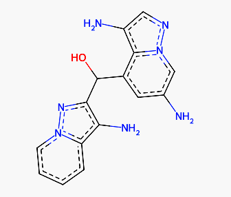 Nc1cc(C(O)c2nn3ccccc3c2N)c2c(N)cnn2c1